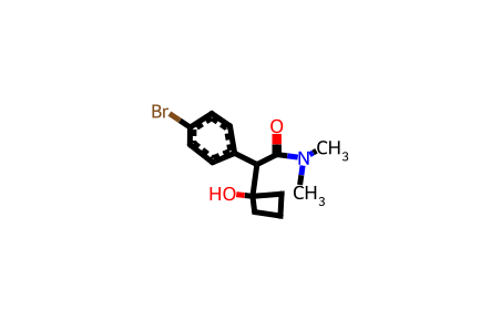 CN(C)C(=O)C(c1ccc(Br)cc1)C1(O)CCC1